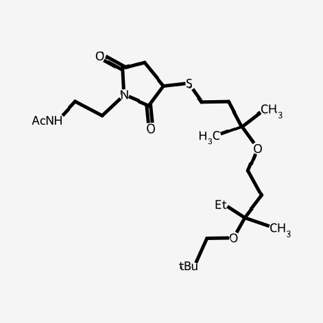 CCC(C)(CCOC(C)(C)CCSC1CC(=O)N(CCNC(C)=O)C1=O)OCC(C)(C)C